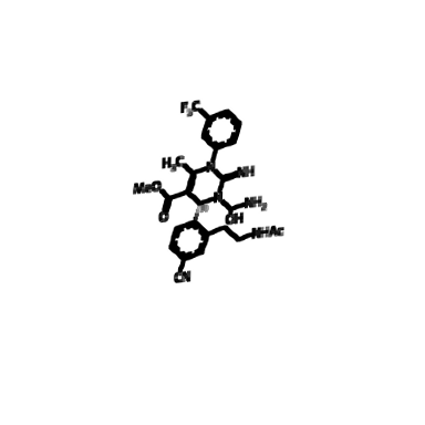 COC(=O)C1=C(C)N(c2cccc(C(F)(F)F)c2)C(=N)N(C(N)O)[C@@H]1c1ccc(C#N)cc1CCNC(C)=O